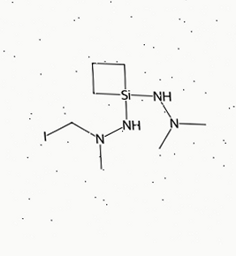 CN(C)N[Si]1(NN(C)CI)CCC1